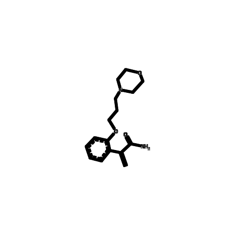 C=C(C(N)=O)c1ccccc1OCCCN1CCOCC1